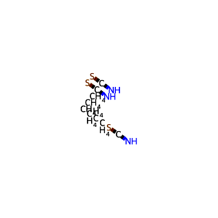 C.C.C.C.C.C.N=C=S.N=C=S.N=C=S